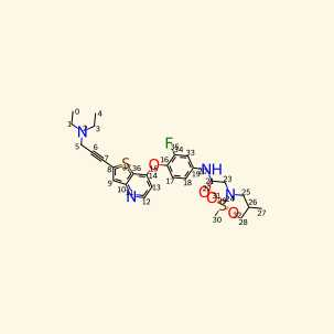 CCN(CC)CC#Cc1cc2nccc(Oc3ccc(NC(=O)CN(CC(C)C)S(C)(=O)=O)cc3F)c2s1